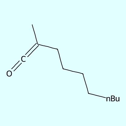 CCCCCCCCC(C)=C=O